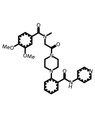 COc1ccc(C(=O)N(C)CC(=O)N2CCN(c3ccccc3C(=O)Nc3ccncc3)CC2)cc1OC